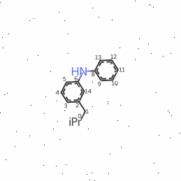 CC(C)Cc1cccc(Nc2ccccc2)c1